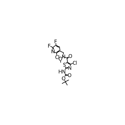 CON(Cc1cc(F)c(F)nc1Cl)C(=O)c1sc(NC(=O)OC(C)(C)C)nc1Cl